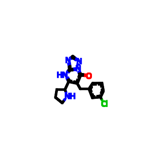 O=c1c(Cc2cccc(Cl)c2)c(C2CCCN2)[nH]c2ncnn12